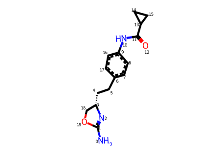 NC1=N[C@@H](CCc2ccc(NC(=O)C3CC3)cc2)CO1